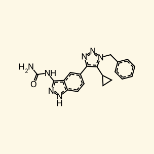 NC(=O)Nc1n[nH]c2ccc(-c3nnn(Cc4ccccc4)c3C3CC3)cc12